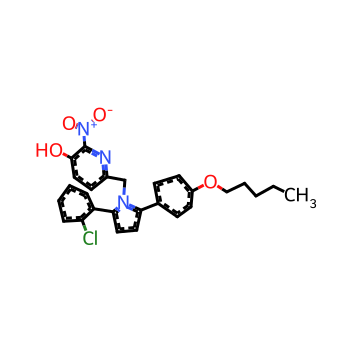 CCCCCOc1ccc(-c2ccc(-c3ccccc3Cl)n2Cc2ccc(O)c([N+](=O)[O-])n2)cc1